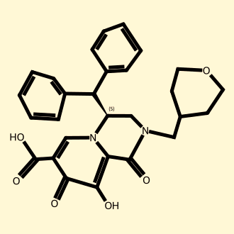 O=C(O)c1cn2c(c(O)c1=O)C(=O)N(CC1CCOCC1)C[C@@H]2C(c1ccccc1)c1ccccc1